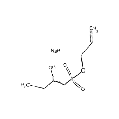 C=CCOS(=O)(=O)CC(O)CC.[NaH]